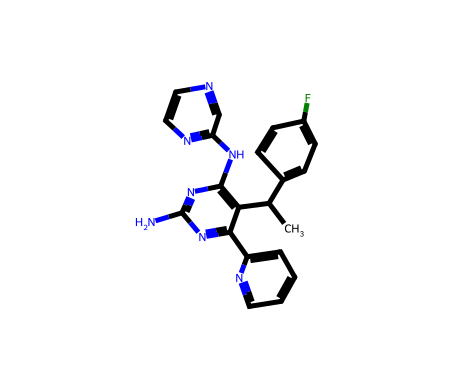 CC(c1ccc(F)cc1)c1c(Nc2cnccn2)nc(N)nc1-c1ccccn1